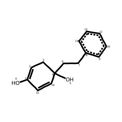 OC1=CCC(O)(CCc2ccccc2)C=C1